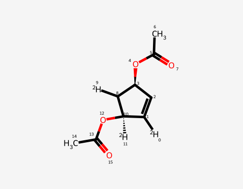 [2H]C1=C[C@H](OC(C)=O)C([2H])[C@]1([2H])OC(C)=O